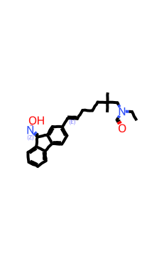 CCN(C=O)CC(C)(C)CCC/C=C/c1ccc2c(c1)/C(=N\O)c1ccccc1-2